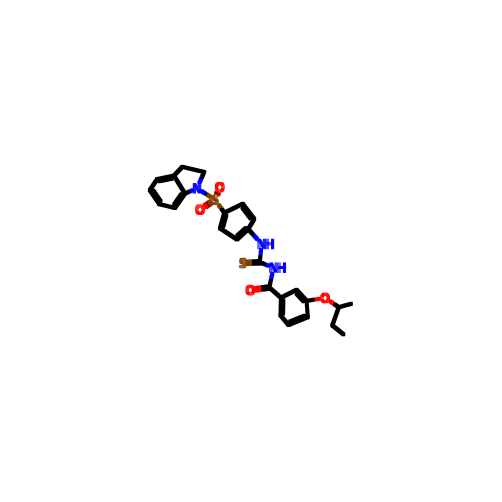 CCC(C)Oc1cccc(C(=O)NC(=S)Nc2ccc(S(=O)(=O)N3CCc4ccccc43)cc2)c1